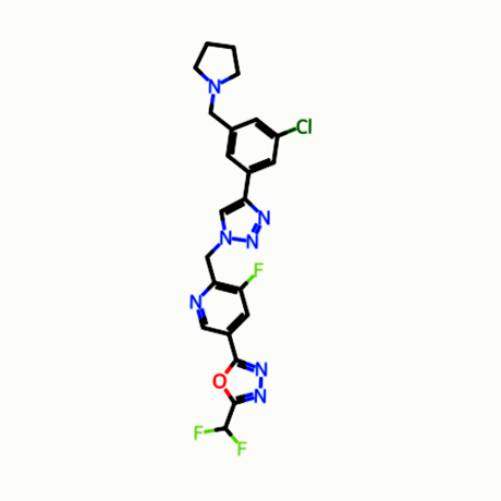 Fc1cc(-c2nnc(C(F)F)o2)cnc1Cn1cc(-c2cc(Cl)cc(CN3CCCC3)c2)nn1